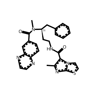 Cc1nc2sccn2c1C(=O)NCC[C@H](Cc1ccccc1)N(C)C(=O)c1ccc2nccnc2c1